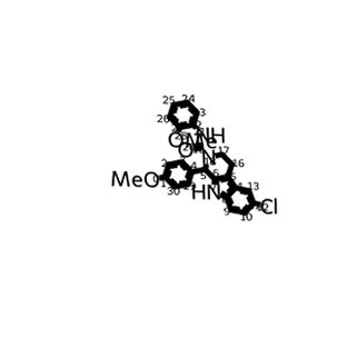 COc1ccc(C2c3[nH]c4ccc(Cl)cc4c3CCN2C(=O)Nc2ccccc2OC)cc1